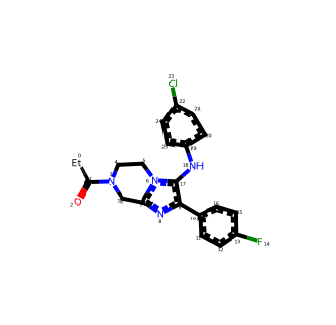 CCC(=O)N1CCn2c(nc(-c3ccc(F)cc3)c2Nc2ccc(Cl)cc2)C1